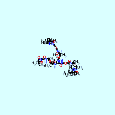 CC(CNC(=O)CCN1C(=O)CC(C(C)C)C1=O)COCC(C)(C)CC(=O)N[C@@H](CCC(=O)NCCOCCC(=O)NCC(C)(C)COCC(C)(C)CNC(=O)C(C)(C)CCC(C)(C)C)C(=O)NCCOCC(C)(C)CC(=O)NCCOCCCNC(=O)C(C)(C)CCC(C)(C)C